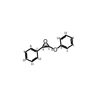 c1ccc(OC2=C(c3ccccc3)O2)cc1